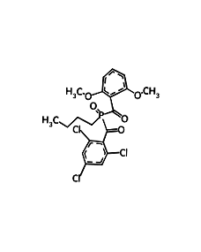 CCCCP(=O)(C(=O)c1c(Cl)cc(Cl)cc1Cl)C(=O)c1c(OC)cccc1OC